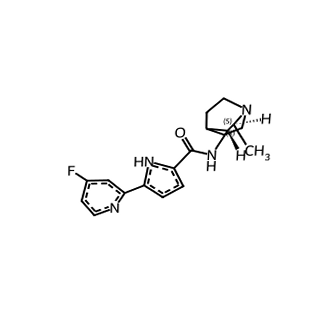 C[C@H]1[C@H](NC(=O)c2ccc(-c3cc(F)ccn3)[nH]2)C2CCN1CC2